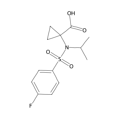 CC(C)N(C1(C(=O)O)CC1)S(=O)(=O)c1ccc(F)cc1